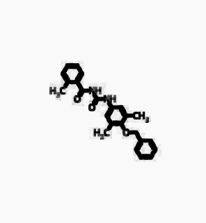 Cc1ccccc1C(=O)NC(=O)Nc1cc(C)c(OCc2ccccc2)c(C)c1